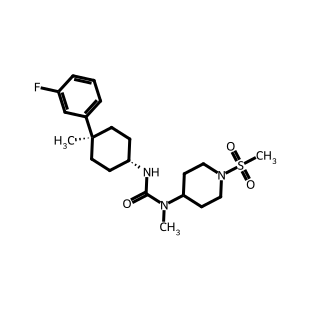 CN(C(=O)N[C@H]1CC[C@](C)(c2cccc(F)c2)CC1)C1CCN(S(C)(=O)=O)CC1